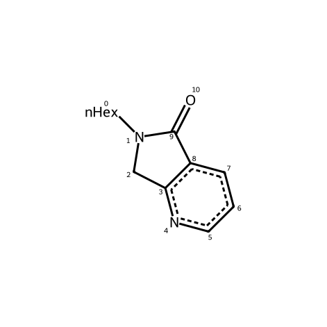 CCCCCCN1Cc2ncccc2C1=O